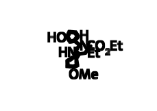 CCOC(=O)C1(CC)Cc2c([nH]c3ccc(OC)cc23)C(c2cccc(O)c2)N1